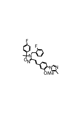 COc1cc(/C=C/C2=NOC(C)(c3ccc(F)cc3)N2Cc2ccccc2F)ccc1-n1cnc(C)c1